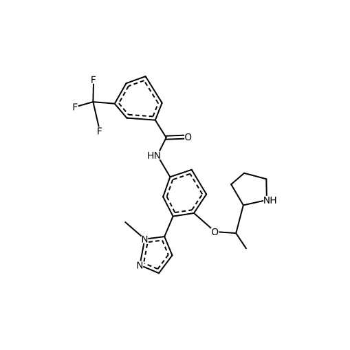 CC(Oc1ccc(NC(=O)c2cccc(C(F)(F)F)c2)cc1-c1ccnn1C)C1CCCN1